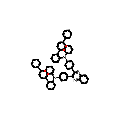 c1ccc(-c2ccc(-c3ccccc3N(c3ccccc3)c3ccc(-c4nc5ccccc5nc4-c4ccc(N(c5ccccc5)c5ccccc5-c5ccc(-c6ccccc6)cc5)cc4)cc3)cc2)cc1